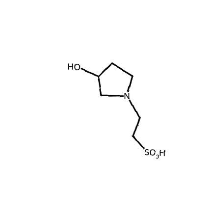 O=S(=O)(O)CCN1CCC(O)C1